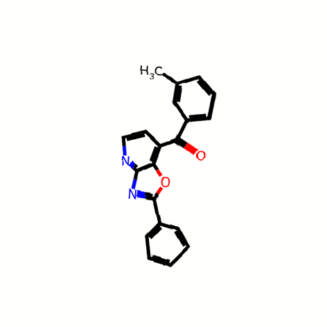 Cc1cccc(C(=O)c2ccnc3nc(-c4ccccc4)oc23)c1